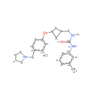 CN(CC1CC(Oc2ccc(CN3CCCC3)c(Cl)c2)C1)C(=O)Nc1cccc(C(F)(F)F)c1